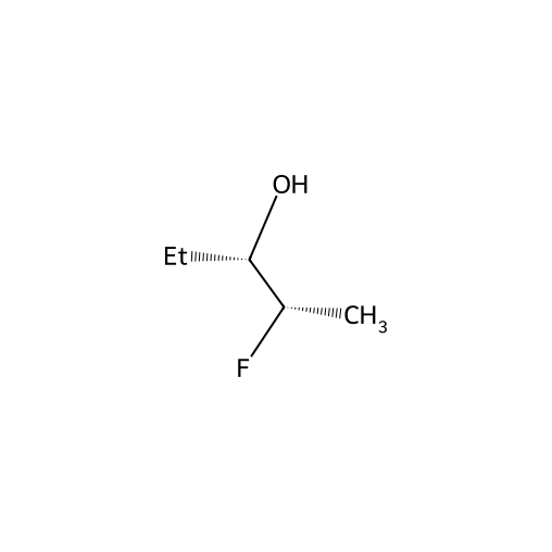 CC[C@H](O)[C@H](C)F